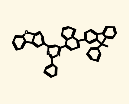 CC1(c2ccccc2)c2ccccc2-c2ccc(-c3ccc(-c4cc(-c5ccc6oc7ccccc7c6c5)nc(-c5ccccc5)n4)c4ccccc34)cc21